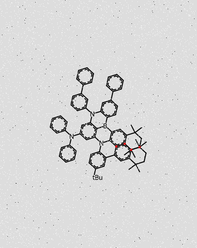 CC(C)(C)c1ccc(N2c3cc4c(cc3B3c5ccc(-c6ccccc6)cc5N(c5cccc(-c6ccccc6)c5)c5cc(N(c6ccccc6)c6ccccc6)cc2c53)C(C)(C)CCC4(C)C)c(-c2ccc3c(c2)C(C)(C)CCC3(C)C)c1